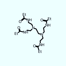 CCC(=O)NCCN(CCNC(=O)CC)CCN(CCNC(=O)CC)CCNC(=O)CC